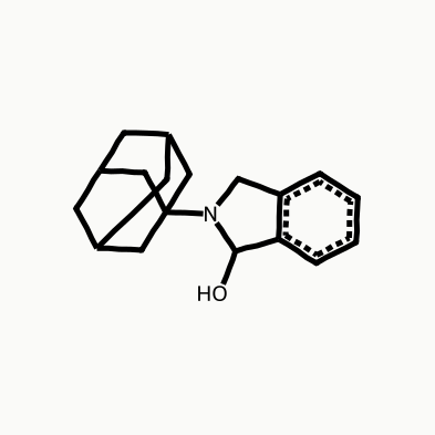 OC1c2ccccc2CN1C12CC3CC(CC(C3)C1)C2